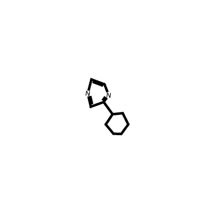 c1cnc(C2CCCCC2)cn1